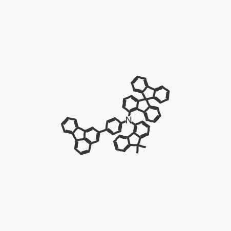 CC1(C)c2ccccc2-c2c(N(c3ccc(-c4cc5c6c(cccc6c4)-c4ccccc4-5)cc3)c3cccc4c3-c3ccccc3C43c4ccccc4-c4ccccc43)cccc21